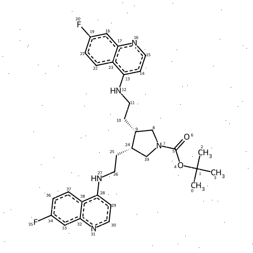 CC(C)(C)OC(=O)N1C[C@@H](CCNc2ccnc3cc(F)ccc23)[C@@H](CCNc2ccnc3cc(F)ccc23)C1